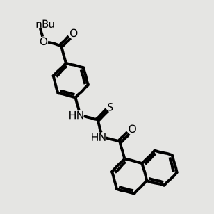 CCCCOC(=O)c1ccc(NC(=S)NC(=O)c2cccc3ccccc23)cc1